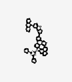 C1=Cc2cccc3c2c(cc2c3c3c4c5ccccc5c5cc(-c6ccc7oc8ccc(-c9c%10ccccc%10cc%10ccccc9%10)cc8c7c6)ccc5c4ccc3n2-c2nc(-c3ccccc3)nc(-c3ccccc3)n2)C1